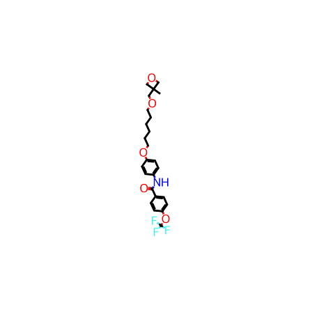 CC1(COCCCCCCOc2ccc(NC(=O)c3ccc(OC(F)(F)F)cc3)cc2)COC1